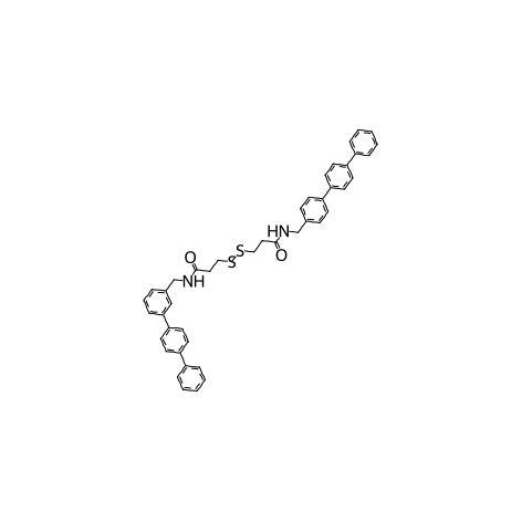 O=C(CCSSCCC(=O)NCc1cccc(-c2ccc(-c3ccccc3)cc2)c1)NCc1ccc(-c2ccc(-c3ccccc3)cc2)cc1